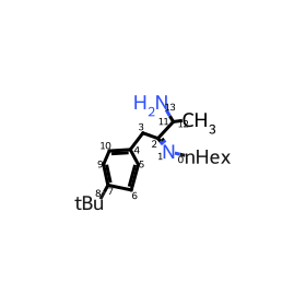 CCCCCCN=C(Cc1ccc(C(C)(C)C)cc1)C(C)N